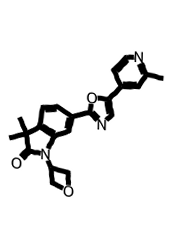 Cc1cc(-c2cnc(-c3ccc4c(c3)N(C3COC3)C(=O)C4(C)C)o2)ccn1